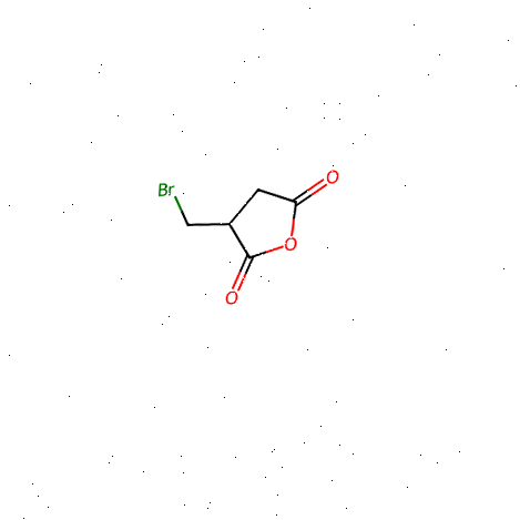 O=C1CC(CBr)C(=O)O1